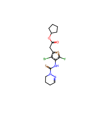 O=C(Cc1sc(F)c(NC(=S)N2CCCC=N2)c1Br)OC1CCCC1